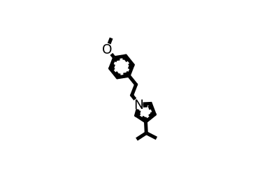 COc1ccc(CCn2ccc(C(C)C)c2)cc1